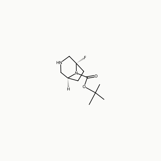 CC(C)(C)OC(=O)N1[C@H]2CC[C@]1(F)CNC2